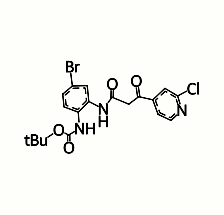 CC(C)(C)OC(=O)Nc1ccc(Br)cc1NC(=O)CC(=O)c1ccnc(Cl)c1